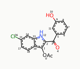 CC(=O)Oc1c(C(=O)c2cccc(O)c2)[nH]c2cc(Cl)ccc12